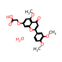 COc1ccc(-c2cc(=O)c3c(OC)cc(OCC(=O)O)cc3o2)cc1OC.O